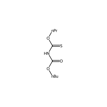 CCCCOC(=O)NC(=S)OCCC